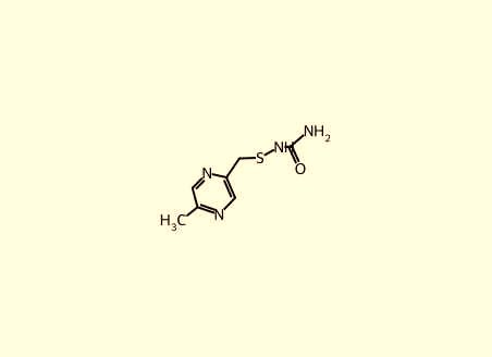 Cc1cnc(CSNC(N)=O)cn1